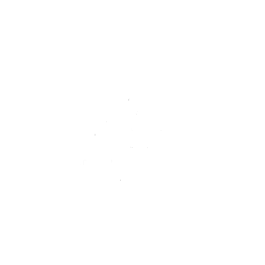 COC(=O)CC1=C(C)Cc2cc(F)c(F)cc21